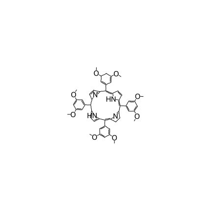 COC1=CC(/C2=c3\cc/c([nH]3)=C(\c3cc(OC)cc(OC)c3)C3=N/C(=C(/c4cc(OC)cc(OC)c4)c4ccc([nH]4)C(c4cc(OC)cc(OC)c4)C4C=CC2=N4)CC3)=CC(OC)C1